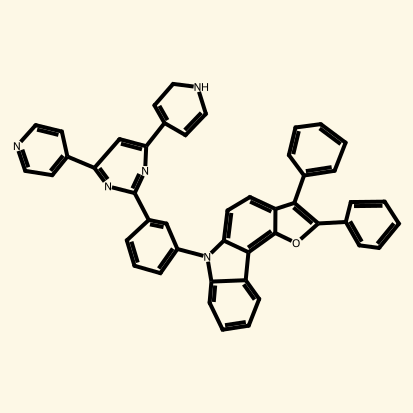 C1=CC(c2cc(-c3ccncc3)nc(-c3cccc(-n4c5ccccc5c5c6oc(-c7ccccc7)c(-c7ccccc7)c6ccc54)c3)n2)=CCN1